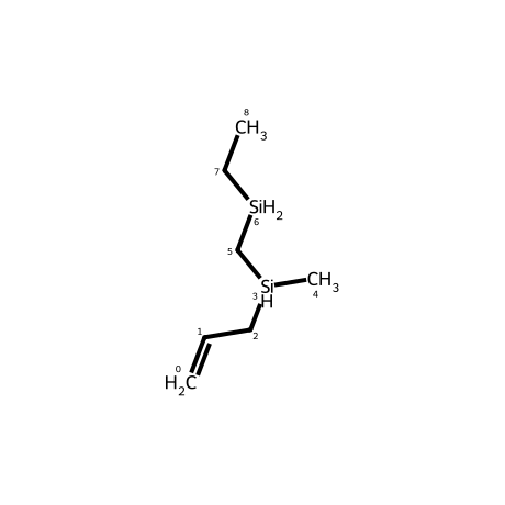 C=CC[SiH](C)C[SiH2]CC